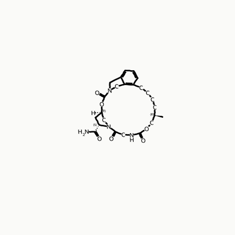 C[C@@H]1CCCCc2cccc3c2CN(C3)C(=O)O[C@@H]2C[C@@H](C(N)=O)N(C2)C(=O)CNC(=O)OC1